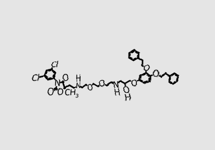 CC1(CCNCCOCCOCCNCC(O)COc2ccc(OCCc3ccccc3)c(OCCc3ccccc3)c2)OC(=O)N(c2cc(Cl)cc(Cl)c2)C1=O